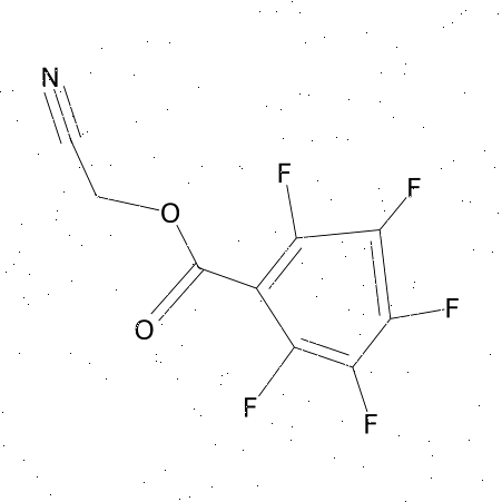 N#CCOC(=O)c1c(F)c(F)c(F)c(F)c1F